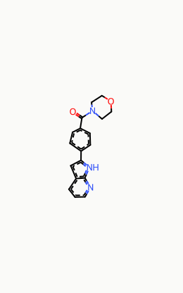 O=C(c1ccc(-c2cc3cccnc3[nH]2)cc1)N1CCOCC1